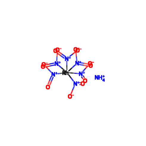 O=[N+]([O-])[Rh]([N+](=O)[O-])([N+](=O)[O-])([N+](=O)[O-])([N+](=O)[O-])[N+](=O)[O-].[NH4+]